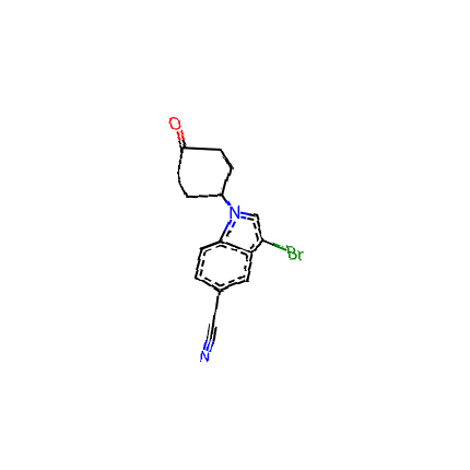 N#Cc1ccc2c(c1)c(Br)cn2C1CCC(=O)CC1